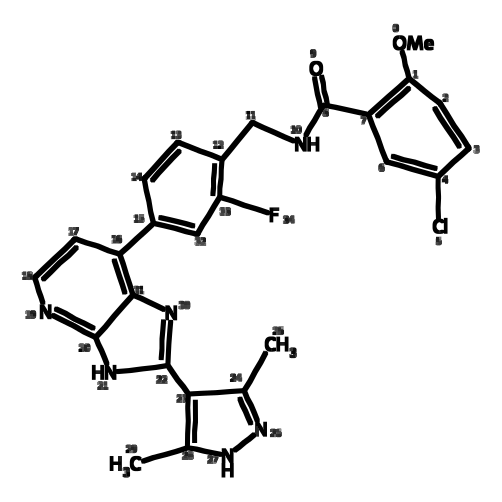 COc1ccc(Cl)cc1C(=O)NCc1ccc(-c2ccnc3[nH]c(-c4c(C)n[nH]c4C)nc23)cc1F